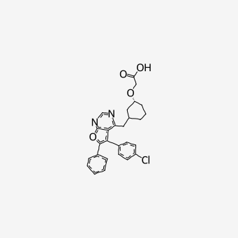 O=C(O)CO[C@@H]1CCCC(Cc2ncnc3oc(-c4ccccc4)c(-c4ccc(Cl)cc4)c23)C1